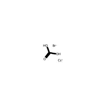 O=C(O)O.[Br-].[Cs+]